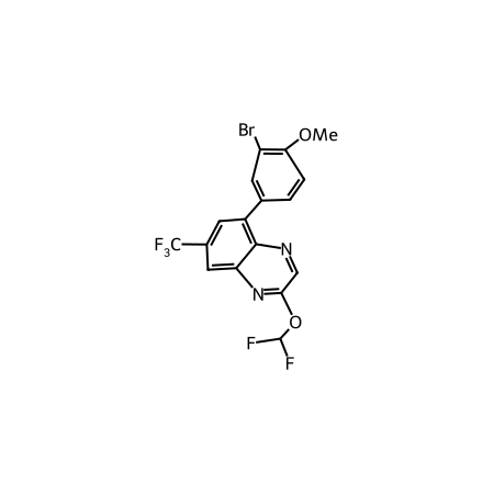 COc1ccc(-c2cc(C(F)(F)F)cc3nc(OC(F)F)cnc23)cc1Br